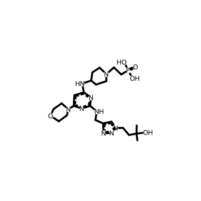 CC(C)(O)CCn1cc(CNc2nc(NC3CCN(CCP(=O)(O)O)CC3)cc(N3CCOCC3)n2)nn1